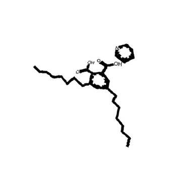 CCCCCCCCc1cc(CCCCCCCC)c(C(=O)O)c(C(=O)O)c1.c1ccncc1